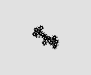 Cc1ccccc1N(c1ccc2cc3c(cc2c1)oc1c3cc(-c2ccccc2)c2c3cc4ccc(N(c5ccccc5C)c5cccc6c5oc5c(C(C)(C)C)cccc56)cc4cc3oc12)c1cccc2c1oc1c(C(C)(C)C)cccc12